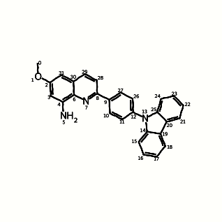 COc1cc(N)c2nc(-c3ccc(-n4c5ccccc5c5ccccc54)cc3)ccc2c1